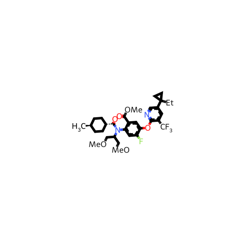 CCC1(c2cnc(Oc3cc(C(=O)OC)c(N(C(=O)[C@H]4CC[C@H](C)CC4)C(COC)COC)cc3F)c(C(F)(F)F)c2)CC1